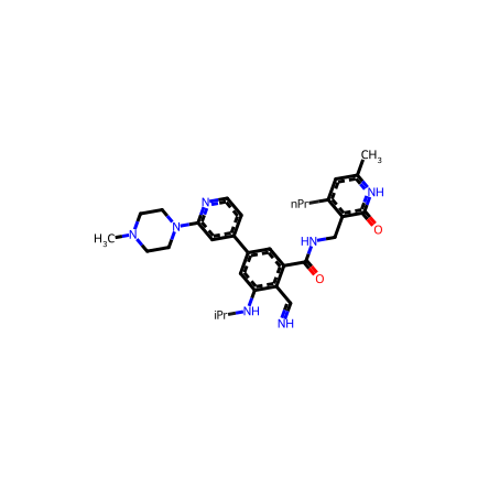 CCCc1cc(C)[nH]c(=O)c1CNC(=O)c1cc(-c2ccnc(N3CCN(C)CC3)c2)cc(NC(C)C)c1C=N